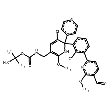 COC1=C(CNC(=O)OC(C)(C)C)C=C(Cl)C(c2ccncc2)(c2cccc(-c3ccc(C=O)c(OC)n3)c2Cl)N1